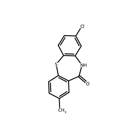 Cc1ccc2c(c1)C(=O)Nc1cc(Cl)ccc1S2